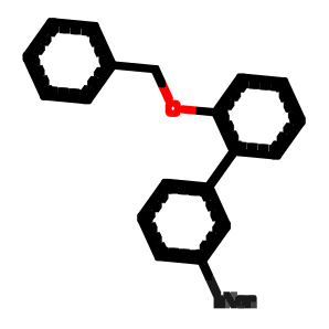 CCCCCCCCCc1cccc(-c2ccccc2OCc2ccccc2)c1